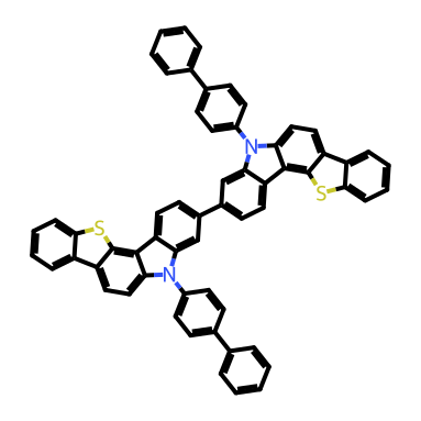 c1ccc(-c2ccc(-n3c4cc(-c5ccc6c7c8sc9ccccc9c8ccc7n(-c7ccc(-c8ccccc8)cc7)c6c5)ccc4c4c5sc6ccccc6c5ccc43)cc2)cc1